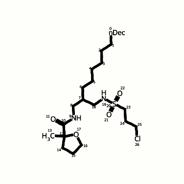 CCCCCCCCCCCCCCCCC(CNC(=O)C1(C)CCCO1)CNS(=O)(=O)CCCCl